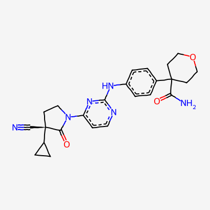 N#C[C@@]1(C2CC2)CCN(c2ccnc(Nc3ccc(C4(C(N)=O)CCOCC4)cc3)n2)C1=O